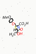 COc1ccc(OCC2=C(C(=O)O)N3C(=O)[C@H]([C@@H](C)O)[C@H]3S2)cc1